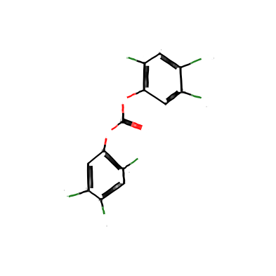 O=C(Oc1cc(Cl)c(Cl)cc1Cl)Oc1cc(Cl)c(Cl)cc1Cl